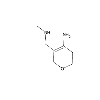 CNCC1=C(N)CCOC1